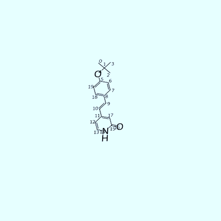 CC(C)(C)Oc1ccc(C=Cc2cc[nH]c(=O)c2)cc1